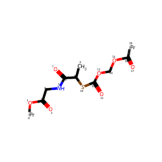 CC(C)OC(=O)CNC(=O)C(C)SC(=O)OCOC(=O)C(C)C